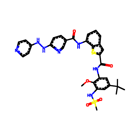 COc1c(NC(=O)c2cc3cccc(NC(=O)c4ccc(NNc5ccncc5)nc4)c3s2)cc(C(C)(C)C)cc1NS(C)(=O)=O